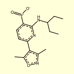 CCC(CC)Nc1nc(-c2c(C)noc2C)ccc1[N+](=O)[O-]